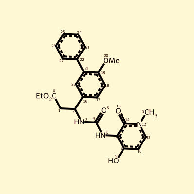 CCOC(=O)CC(NC(=O)Nc1c(O)ccn(C)c1=O)c1ccc(OC)c(-c2ccccc2)c1